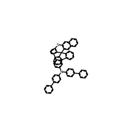 c1ccc(-c2ccc(N(c3ccc(-c4ccccc4)cc3)c3ccc(-c4cccc5c4C4(c6cc7ccccc7cc6S5)c5ccccc5-c5ccccc54)cc3)cc2)cc1